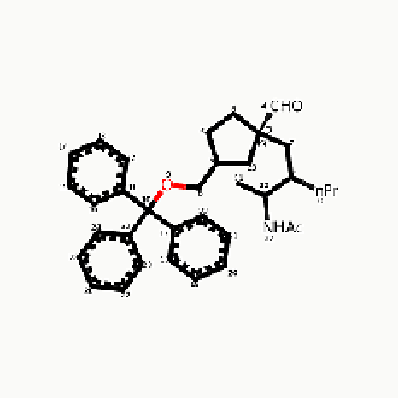 CCCC(C[C@@]1(C=O)CCC(COC(c2ccccc2)(c2ccccc2)c2ccccc2)C1)C(C)NC(C)=O